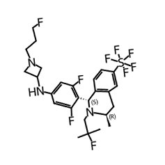 C[C@@H]1Cc2cc(S(F)(F)(F)(F)F)ccc2[C@@H](c2c(F)cc(NC3CN(CCCF)C3)cc2F)N1CC(C)(C)F